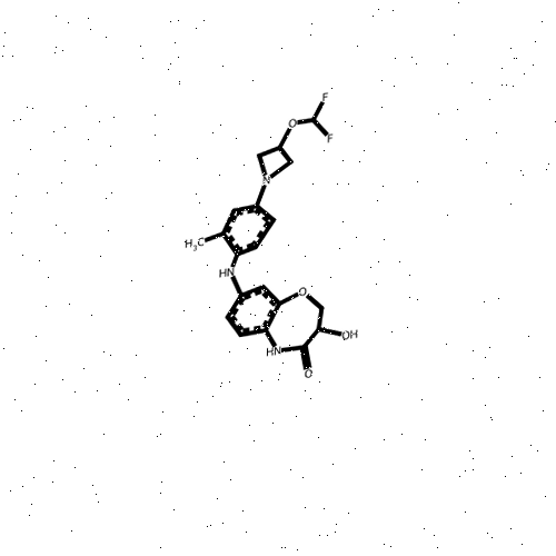 Cc1cc(N2CC(OC(F)F)C2)ccc1Nc1ccc2c(c1)OCC(O)C(=O)N2